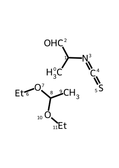 CC(C=O)N=C=S.CCOC(C)OCC